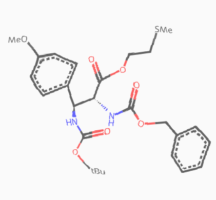 COc1ccc([C@H](NC(=O)OC(C)(C)C)[C@@H](NC(=O)OCc2ccccc2)C(=O)OCCSC)cc1